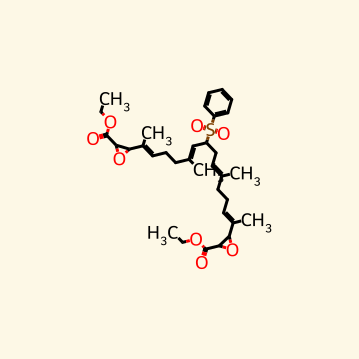 CCOC(=O)C1OC1/C(C)=C/CC/C(C)=C/CC(/C=C(\C)CC/C=C(\C)C1OC1C(=O)OCC)S(=O)(=O)c1ccccc1